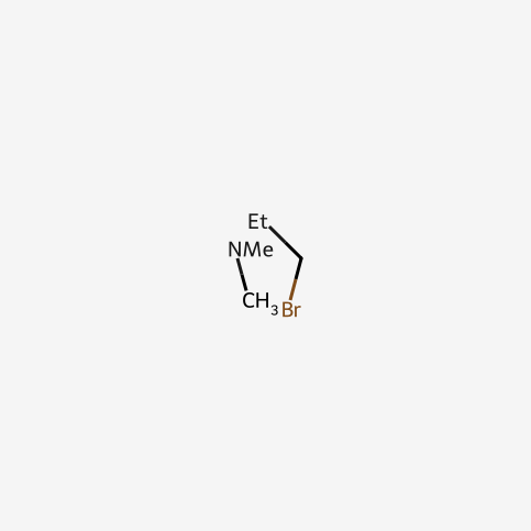 CCCBr.CNC